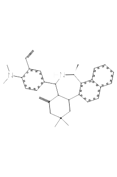 C=Cc1cc(C2N[C@@H](C)c3c(ccc4ccccc34)C3CC(C)(C)CC(=C)C32)ccc1N(C)C